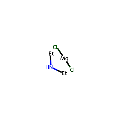 CCNCC.[Cl][Mg][Cl]